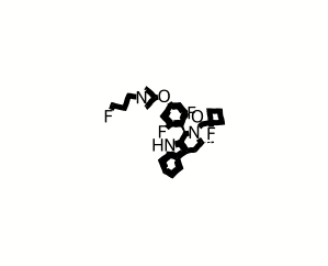 C[C@@H]1Cc2c([nH]c3ccccc23)[C@@H](c2c(F)cc(OC3CN(CCCF)C3)cc2F)N1C(=O)C1(F)CCC1